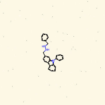 c1ccc(CNNCc2ccc3c4ccccc4n(-c4ccccc4)c3c2)cc1